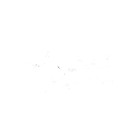 CCNC(=O)CC[C@@H](NC(=O)c1cc2cccc(F)c2oc1=O)C(=O)OCC